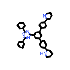 C1=CNC(c2ccc(-c3cc(-c4ccc(-c5ccccn5)cc4)cc(-c4nc(-c5ccccc5)nc(-c5ccccc5)n4)c3)cc2)C=C1